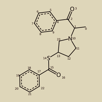 CC(C(=O)c1ccccc1)N1CCC(SC(=O)c2ccccc2)C1